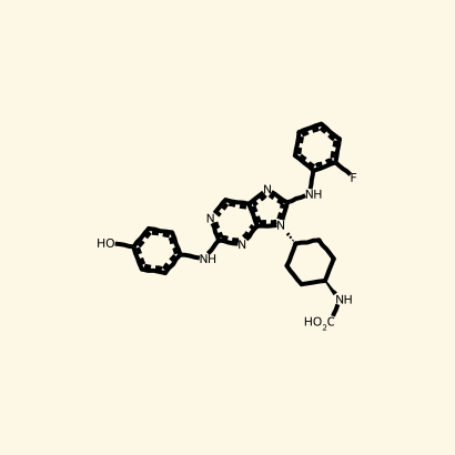 O=C(O)N[C@H]1CC[C@H](n2c(Nc3ccccc3F)nc3cnc(Nc4ccc(O)cc4)nc32)CC1